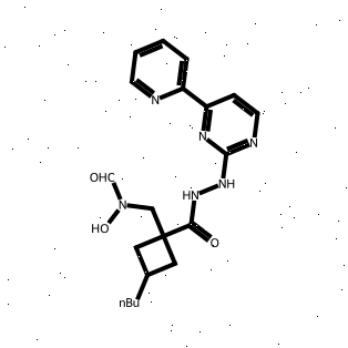 CCCCC1CC(CN(O)C=O)(C(=O)NNc2nccc(-c3ccccn3)n2)C1